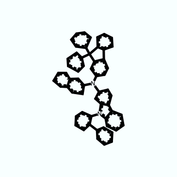 c1ccc(-c2ccccc2-n2c3ccccc3c3ccc(N(c4ccc5c(c4)C(c4ccccc4)(c4ccccc4)c4ccccc4-5)c4ccc5ccccc5c4)cc32)cc1